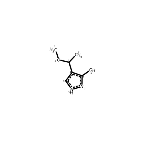 COC(C)c1c[nH]nc1O